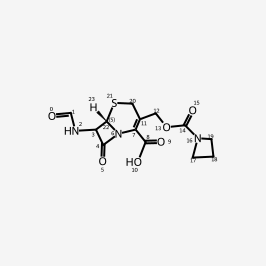 O=CNC1C(=O)N2C(C(=O)O)=C(COC(=O)N3CCC3)CS[C@@H]12